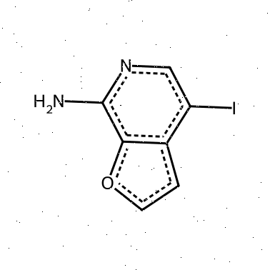 Nc1ncc(I)c2ccoc12